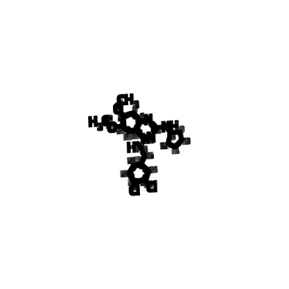 COc1cc2nc(NC3CCCC3)nc(NCc3ccc(Cl)c(Cl)c3)c2cc1OC